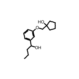 CCCC(O)c1cccc(OCC2(O)CCCC2)c1